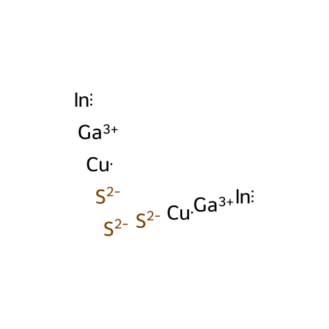 [Cu].[Cu].[Ga+3].[Ga+3].[In].[In].[S-2].[S-2].[S-2]